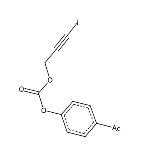 CC(=O)c1ccc(OC(=O)OCC#CI)cc1